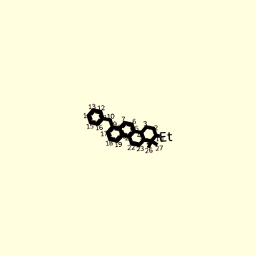 CCC1CCC2c3ccc4c(Cc5ccccc5)cccc4c3C=CC2C1(C)C